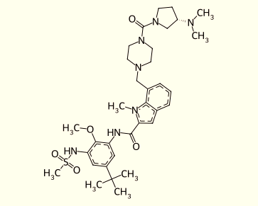 COc1c(NC(=O)c2cc3cccc(CN4CCN(C(=O)N5CC[C@H](N(C)C)C5)CC4)c3n2C)cc(C(C)(C)C)cc1NS(C)(=O)=O